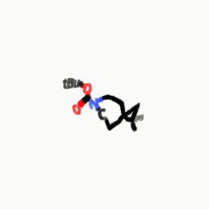 C[C@@H]1CC12CCCN(C(=O)OC(C)(C)C)CC2